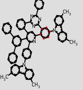 Cc1ccc2c(c1)c1cc(C)ccc1n2-c1ccc(-c2cc(-c3ccccc3-c3nc(-c4ccccc4)nc(-c4ccccc4)n3)c(-c3cc(-c4ccccc4)cc(-c4ccccc4)c3)c(-c3ccc(-n4c5ccc(C)cc5c5cc(C)ccc54)cc3)n2)cc1